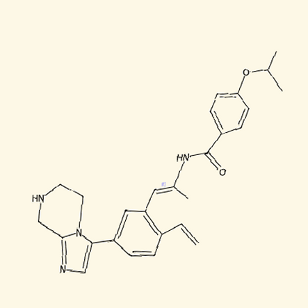 C=Cc1ccc(-c2cnc3n2CCNC3)cc1/C=C(\C)NC(=O)c1ccc(OC(C)C)cc1